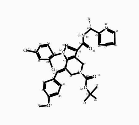 COc1ccc(C=C2CN(C(=O)OC(C)(C)C)Cc3c(C(=O)N[C@H](C)c4ccccn4)nn(-c4ccc(Cl)cc4Cl)c32)cc1